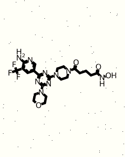 Nc1ncc(-c2nc(N3CCOCC3)nc(N3CCN(C(=O)CCCC(=O)NO)CC3)n2)cc1C(F)(F)F